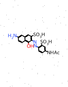 CC(=O)Nc1ccc(N=Nc2c(S(=O)(=O)O)cc3cc(N)ccc3c2O)c(S(=O)(=O)O)c1